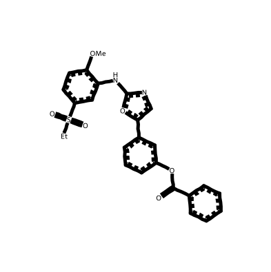 CCS(=O)(=O)c1ccc(OC)c(Nc2ncc(-c3cccc(OC(=O)c4ccccc4)c3)o2)c1